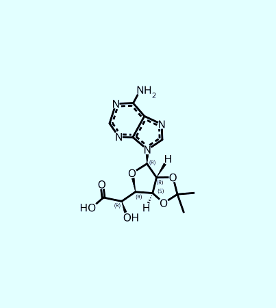 CC1(C)O[C@@H]2[C@@H](O1)[C@H](n1cnc3c(N)ncnc31)O[C@@H]2[C@@H](O)C(=O)O